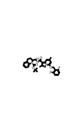 Cc1cc(OCc2c(F)cccc2F)n2nc(C)c(C(=O)NCC3CCc4ccccc4N3C(=O)OC(C)(C)C)c2c1